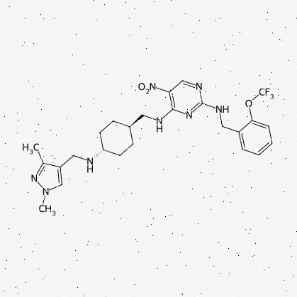 Cc1nn(C)cc1CN[C@H]1CC[C@H](CNc2nc(NCc3ccccc3OC(F)(F)F)ncc2[N+](=O)[O-])CC1